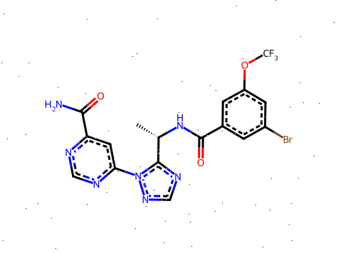 C[C@H](NC(=O)c1cc(Br)cc(OC(F)(F)F)c1)c1ncnn1-c1cc(C(N)=O)ncn1